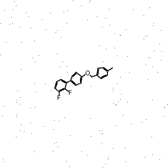 Cc1ccc(COc2ccc(-c3cccc(F)c3F)cc2)cc1